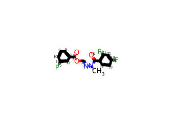 CN(N=COC(=O)c1cccc(F)c1)C(=O)c1ccc(F)cc1F